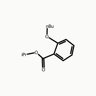 CCCCOc1ccccc1C(=O)OC(C)C